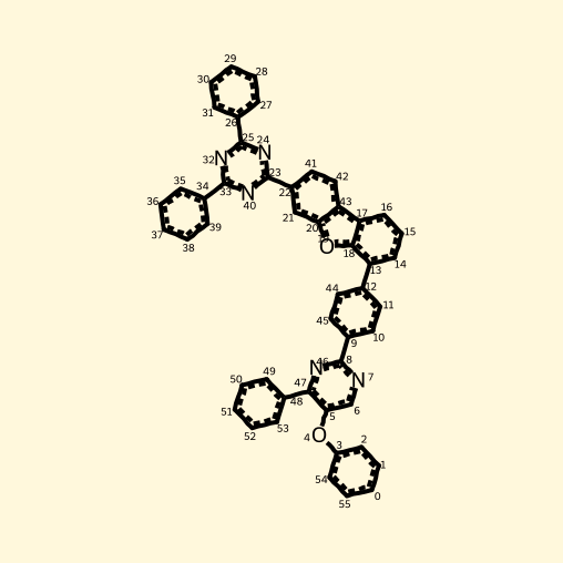 c1ccc(Oc2cnc(-c3ccc(-c4cccc5c4oc4cc(-c6nc(-c7ccccc7)nc(-c7ccccc7)n6)ccc45)cc3)nc2-c2ccccc2)cc1